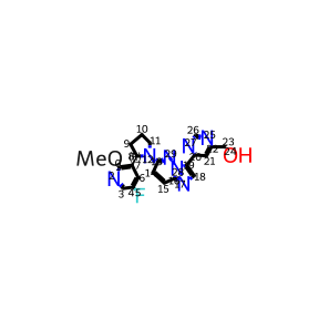 COc1ncc(F)cc1[C@H]1CCCN1c1ccc2ncc(-c3cc(CO)ncn3)n2n1